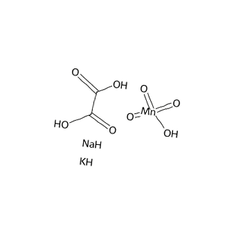 O=C(O)C(=O)O.[KH].[NaH].[O]=[Mn](=[O])(=[O])[OH]